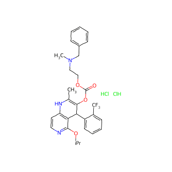 CC1=C(OC(=O)OCCN(C)Cc2ccccc2)C(c2ccccc2C(F)(F)F)c2c(ccnc2OC(C)C)N1.Cl.Cl